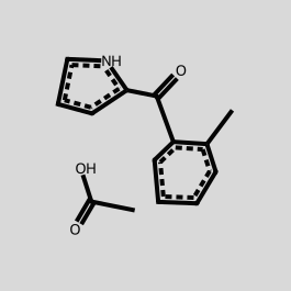 CC(=O)O.Cc1ccccc1C(=O)c1ccc[nH]1